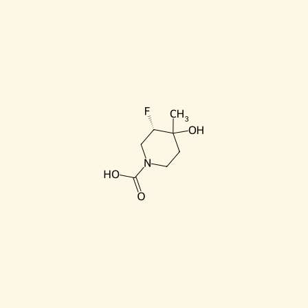 CC1(O)CCN(C(=O)O)C[C@@H]1F